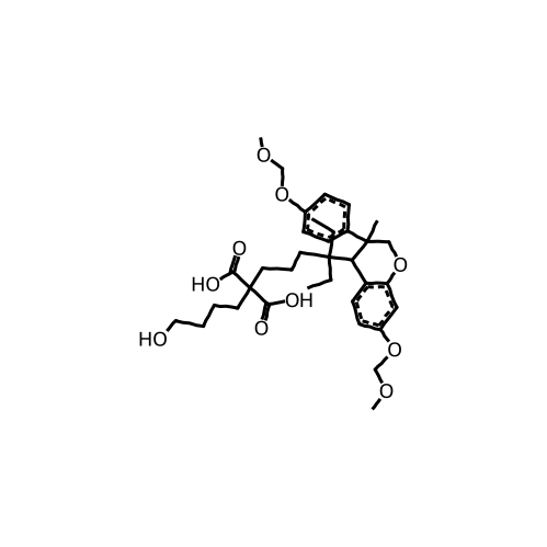 CCC(CC)(CCCC(CCCCO)(C(=O)O)C(=O)O)C1c2ccc(OCOC)cc2OCC1(C)c1ccc(OCOC)cc1